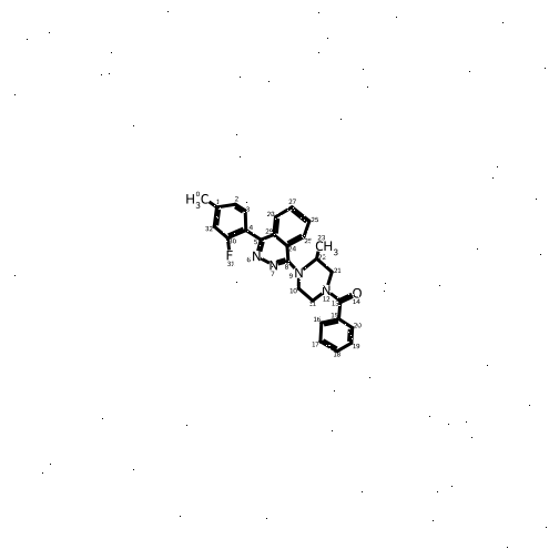 Cc1ccc(-c2nnc(N3CCN(C(=O)c4ccccc4)CC3C)c3ccccc23)c(F)c1